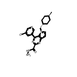 C[C@H]1CC[C@H](Cn2ccc3nc(C(=O)NN)nc(-c4cncc(Cl)c4)c32)CC1